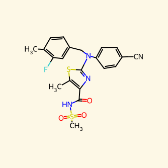 Cc1ccc(CN(c2ccc(C#N)cc2)c2nc(C(=O)NS(C)(=O)=O)c(C)s2)cc1F